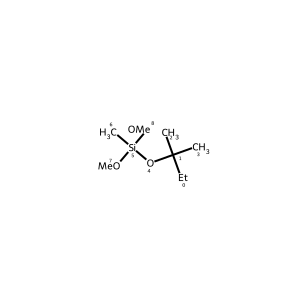 CCC(C)(C)O[Si](C)(OC)OC